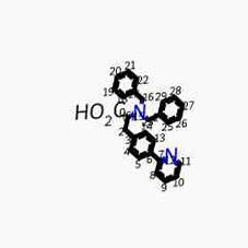 O=C(O)[C@H](Cc1ccc(-c2ccccn2)cc1)N(Cc1ccccc1)Cc1ccccc1